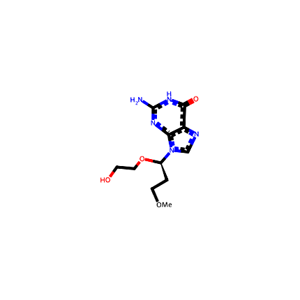 COCC[C@@H](OCCO)n1cnc2c(=O)[nH]c(N)nc21